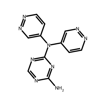 Nc1ncnc(N(c2ccnnc2)c2ccnnc2)n1